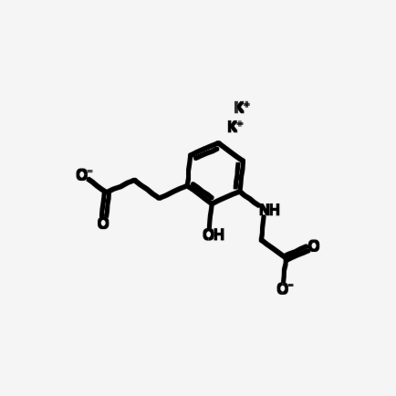 O=C([O-])CCc1cccc(NCC(=O)[O-])c1O.[K+].[K+]